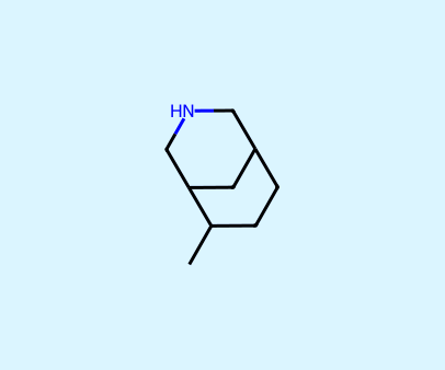 CC1CCC2CNCC1C2